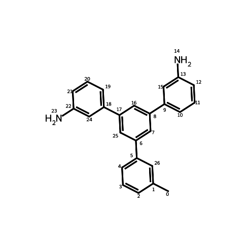 Cc1cccc(-c2cc(-c3cccc(N)c3)cc(-c3cccc(N)c3)c2)c1